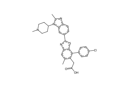 Cc1cc2nc(-c3ccc4nc(C)n(C5CCN(C)CC5)c4c3)sc2c(-c2ccc(Cl)cc2)c1CC(=O)O